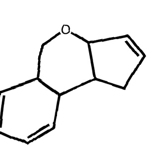 C1=CC2COC3C=CCC3C2C=C1